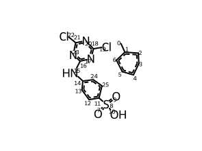 Cc1ccccc1.O=S(=O)(O)c1ccc(Nc2nc(Cl)nc(Cl)n2)cc1